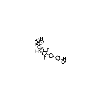 Fc1cc2[nH]c(OC3CO[C@@H]4CCO[C@H]34)nc2c(F)c1-c1ccc(-c2ccc(-c3ncco3)cc2)cc1